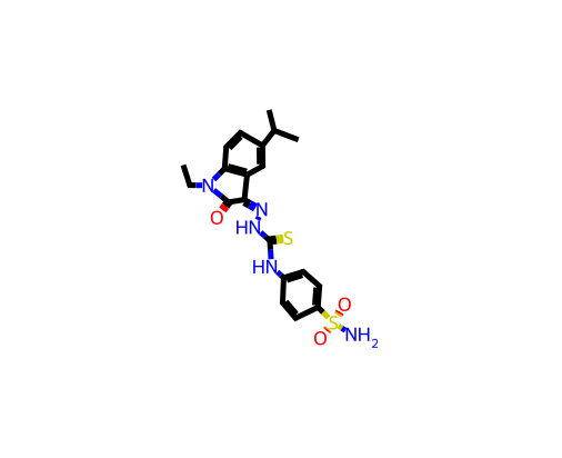 CCN1C(=O)C(=NNC(=S)Nc2ccc(S(N)(=O)=O)cc2)c2cc(C(C)C)ccc21